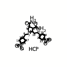 Cl.NC(=O)C1CN(CCc2ccc([N+](=O)[O-])cc2)C(CCc2ccc([N+](=O)[O-])cc2)C1C(N)=O